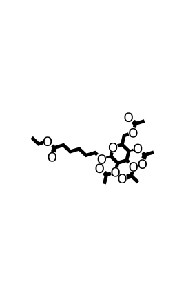 CCOC(=O)CCCCCO[C@H]1OC(COC(C)=O)[C@@H](OC(C)=O)C(OC(C)=O)C1OC(C)=O